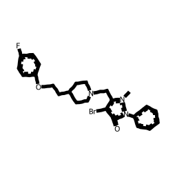 Cn1c(CN2CCC(CCOc3ccc(F)cc3)CC2)c(Br)c(=O)n1-c1ccccc1